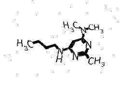 CCCCNc1cc(N(C)C)nc(C)n1